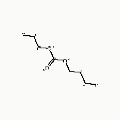 [CH2]CCCOC(=O)OCCC